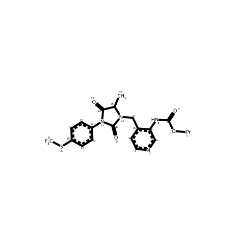 CC(C)OC(=O)Nc1cnccc1CN1C(=O)N(c2ccc(SC(F)(F)F)cc2)C(=O)C1C